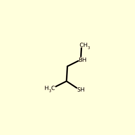 CBCC(C)S